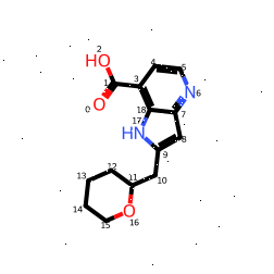 O=C(O)c1ccnc2cc(CC3CCCCO3)[nH]c12